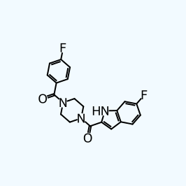 O=C(c1ccc(F)cc1)N1CCN(C(=O)c2cc3ccc(F)cc3[nH]2)CC1